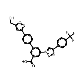 O=C(O)c1cc(-c2ccc(-c3cc(CO)on3)cc2)cc(-n2cc(-c3ccc(C(F)(F)F)cc3)nn2)c1